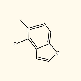 Cc1ccc2occc2c1F